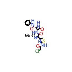 CON=C(C(=O)N[C@H]1C(=O)N[C@H]1C(=O)Nc1ccccc1)c1csc(NC(=O)CCl)n1